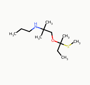 CCCNC(C)(C)COC(C)(CC)SC